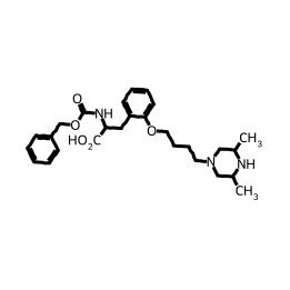 CC1CN(CCCCOc2ccccc2CC(NC(=O)OCc2ccccc2)C(=O)O)CC(C)N1